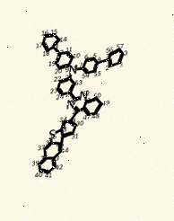 c1ccc(-c2ccc(N(c3ccc(-c4ccccc4)cc3)c3cccc(-c4nc(-c5ccc6c(c5)sc5cc7ccccc7cc56)c5ccccc5n4)c3)cc2)cc1